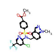 COC(=O)c1ccc(S(=O)(=O)N(Cc2ccc3c(cnn3C)c2)c2ncc(C(F)(F)F)cc2Cl)cc1